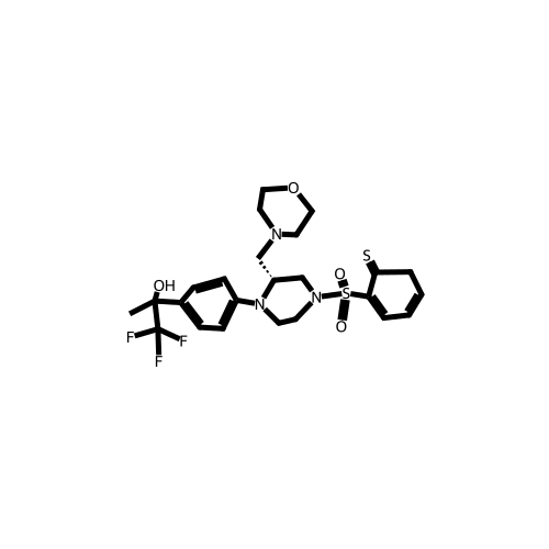 CC(O)(c1ccc(N2CCN(S(=O)(=O)C3=CC=CCC3=S)C[C@H]2CN2CCOCC2)cc1)C(F)(F)F